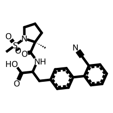 C[C@@]1(C(=O)NC(Cc2ccc(-c3ccccc3C#N)cc2)C(=O)O)CCCN1S(C)(=O)=O